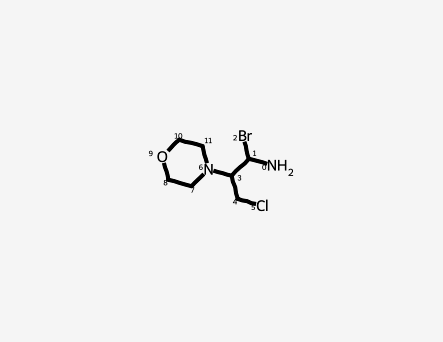 NC(Br)C(CCl)N1CCOCC1